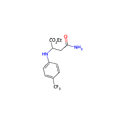 CCOC(=O)C(CC(N)=O)Nc1ccc(C(F)(F)F)cc1